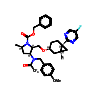 COc1ccc(CN(C(=O)C(F)(F)F)[C@H]2C[C@@H](C)N(C(=O)OCc3ccccc3)[C@H]2CO[C@@H]2CC[C@@]3(c4ncc(F)cn4)C[C@H]3C2)cc1